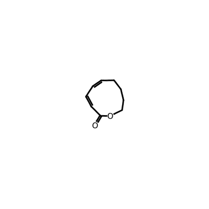 O=C1C=CC=CCCCCO1